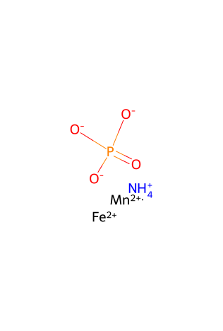 O=P([O-])([O-])[O-].[Fe+2].[Mn+2].[NH4+]